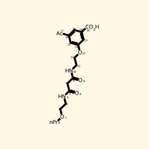 CCCOCCNC(=O)CC(=O)NCCOc1cc(C(C)=O)cc(C(=O)O)c1